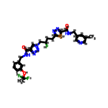 CC(F)(F)Oc1cccc(CNC(=O)c2cn(CC(F)CCc3nnc(C(=O)NCc4cncc(C(F)(F)F)c4)s3)nn2)c1